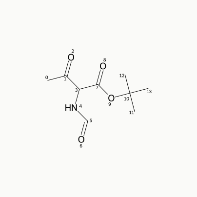 CC(=O)C(NC=O)C(=O)OC(C)(C)C